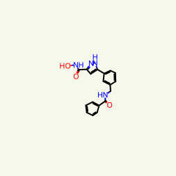 O=C(NCc1cccc(-c2cc(C(=O)NO)n[nH]2)c1)c1ccccc1